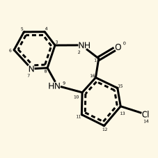 O=C1Nc2cccnc2Nc2ccc(Cl)cc21